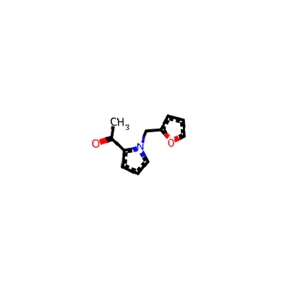 CC(=O)c1cccn1Cc1ccco1